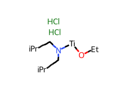 CC[O][Ti][N](CC(C)C)CC(C)C.Cl.Cl